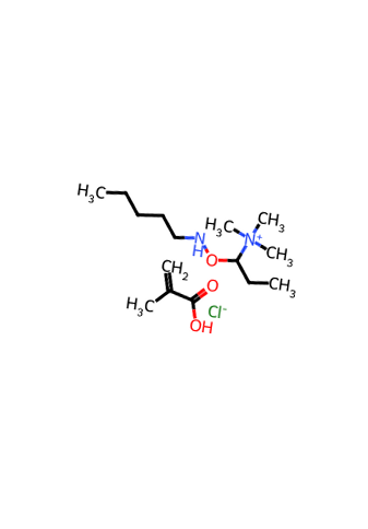 C=C(C)C(=O)O.CCCCCNOC(CC)[N+](C)(C)C.[Cl-]